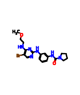 COCCNc1nc(Nc2cccc(NC(=O)N3CCCC3)c2)ncc1Br